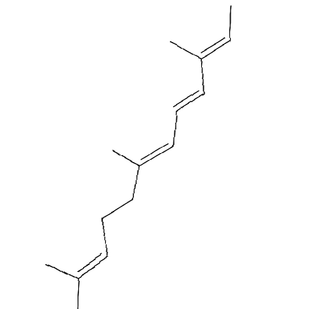 C/C=C(C)/C=C/C=C(\C)CCC=C(C)C